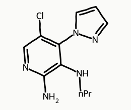 CCCNc1c(N)ncc(Cl)c1-n1cccn1